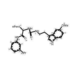 CCCCCC(NC(=O)NCCc1c[nH]c2ccc(OC)cc12)C(=O)Nc1cccc(C(C)C)c1